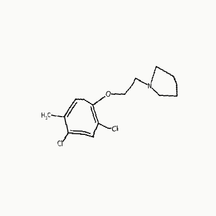 Cc1cc(OCCN2CCCC2)c(Cl)cc1Cl